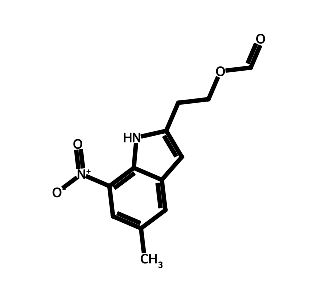 Cc1cc([N+](=O)[O-])c2[nH]c(CCOC=O)cc2c1